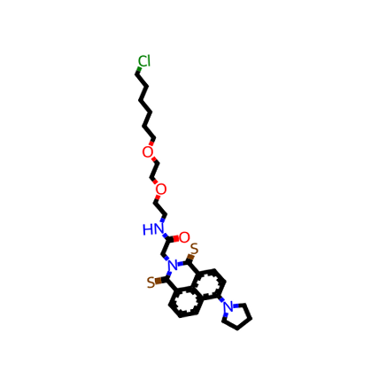 O=C(CN1C(=S)c2cccc3c(N4CCCC4)ccc(c23)C1=S)NCCOCCOCCCCCCCl